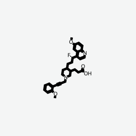 COc1ccc2nccc([C@@H](F)CCC3CCN(CC#Cc4ccccc4OC)CC3CCC(=O)O)c2c1